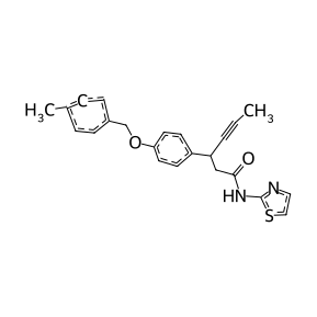 CC#CC(CC(=O)Nc1nccs1)c1ccc(OCc2ccc(C)cc2)cc1